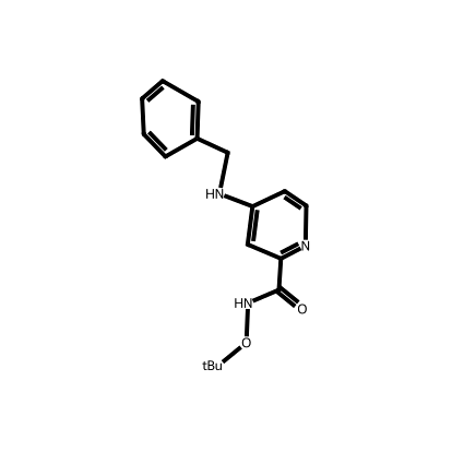 CC(C)(C)ONC(=O)c1cc(NCc2ccccc2)ccn1